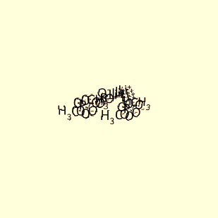 COP(=O)(OC)C([O-])([O-])C=O.COP(=O)(OC)C([O-])([O-])C=O.[Li+].[Li+].[Li+].[Li+].[Li+].[Li+].[Li+].[O-]B([O-])[O-]